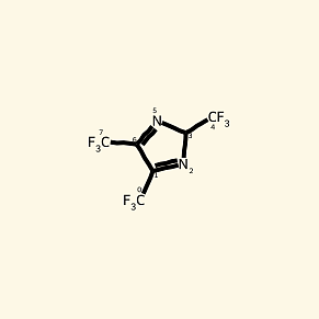 FC(F)(F)C1=NC(C(F)(F)F)N=C1C(F)(F)F